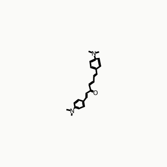 CN(C)c1ccc(C=CC=CC(=O)C=Cc2ccc(N(C)C)cc2)cc1